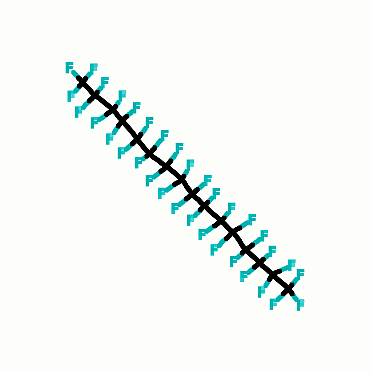 FC(F)(F)C(F)(F)C(F)(F)C(F)(F)C(F)(F)C(F)(F)C(F)(F)C(F)(F)C(F)(F)C(F)(F)C(F)(F)C(F)(F)C(F)(F)C(F)(F)C(F)(F)C(F)(F)F